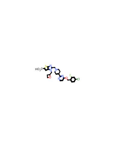 O=C(O)c1cc2c(nc(CN3CC=C(c4nccc(OCc5ccc(Cl)cc5F)n4)CC3)n2CC2CCO2)s1